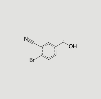 N#Cc1cc([CH]O)ccc1Br